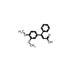 COc1ccc(C(=CC(=O)O)c2ccccc2)cc1OC